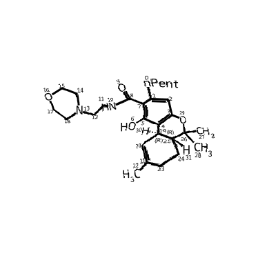 CCCCCc1cc2c(c(O)c1C(=O)NCCN1CCOCC1)[C@@H]1C=C(C)CC[C@H]1C(C)(C)O2